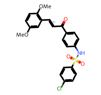 COc1ccc(OC)c(/C=C/C(=O)c2ccc(NS(=O)(=O)c3ccc(Cl)cc3)cc2)c1